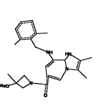 COC1(C)CN(C(=O)C2=CN3C(C)=C(C)NC3C(NCc3c(C)cccc3C)=C2)C1